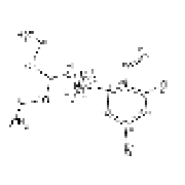 C=C.CCOC(C)OCC.Cc1cc(Br)cc(C)c1C=O